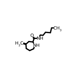 C=C1CCCNC(C(=O)NCCCCCC)C1